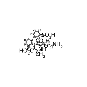 CC1=C(C(=O)O)C(c2ccccc2Cl)C(C(=O)O)=C(COCCN)N1.O=S(=O)(O)c1ccccc1